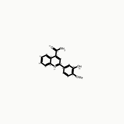 COc1ccc(-c2cc(C(N)=O)c3ccccc3n2)cc1O